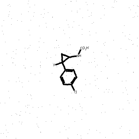 O=C(O)NC1CC1(F)c1ccc(Cl)cc1